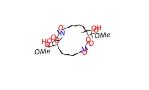 C/C=C/[C@H](O)[C@](C)(C(=O)OC)[C@@H]1C\C=C/C=C/C=C/c2nc(co2)C(=O)O[C@H]([C@@](C)(C(=O)OC)[C@@H](O)/C=C/C)C\C=C/C=C/C=C/c2nc(co2)C(=O)O1